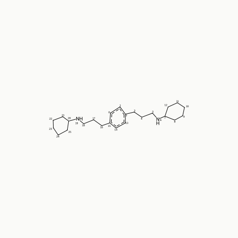 c1cc(CCCNC2CCCCC2)ccc1CCCNC1CCCCC1